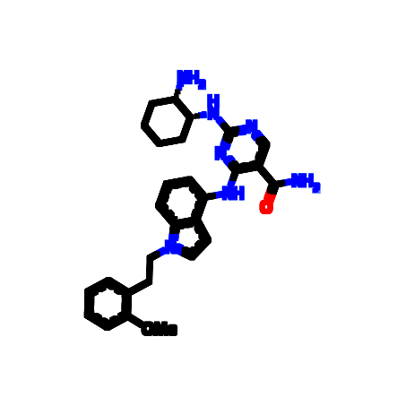 COc1ccccc1CCn1ccc2c(Nc3nc(N[C@@H]4CCCC[C@@H]4N)ncc3C(N)=O)cccc21